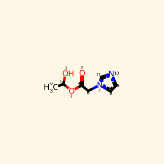 CC(O)OC(=O)Cn1ccnc1